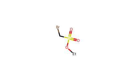 CCOS(=O)(=O)CBr